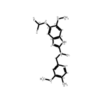 COc1cc(C[S+]([O-])c2nc3cc(OC(F)F)c(OC)cc3[nH]2)ncc1C